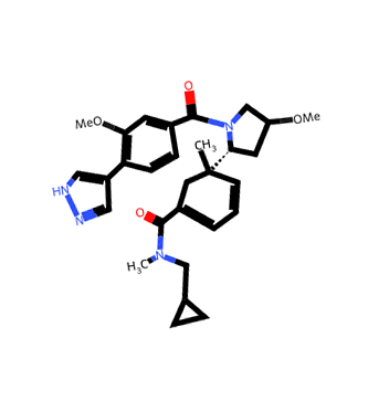 COc1cc(C(=O)N2CC(OC)C[C@@H]2C2(C)C=CC=C(C(=O)N(C)CC3CC3)C2)ccc1-c1cn[nH]c1